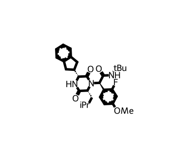 COc1ccc([C@H](C(=O)NC(C)(C)C)N2C(=O)[C@@H](C3Cc4ccccc4C3)NC(=O)[C@H]2CC(C)C)c(F)c1